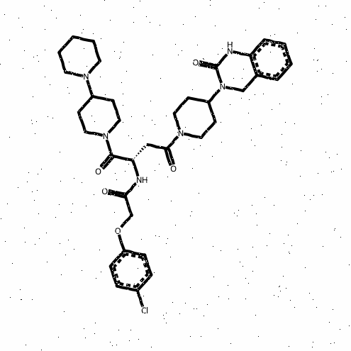 O=C(COc1ccc(Cl)cc1)N[C@@H](CC(=O)N1CCC(N2Cc3ccccc3NC2=O)CC1)C(=O)N1CCC(N2CCCCC2)CC1